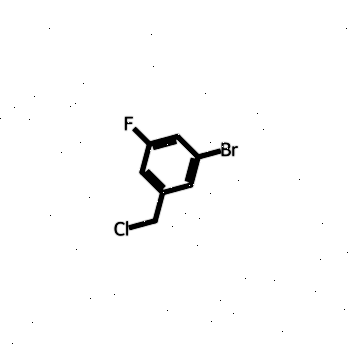 Fc1cc(Br)cc(CCl)c1